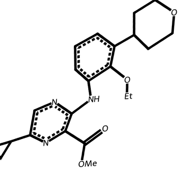 CCOc1c(Nc2ncc(C3CC3)nc2C(=O)OC)cccc1C1CCOCC1